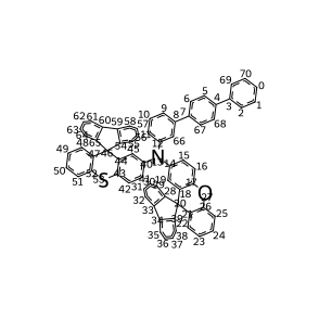 c1ccc(-c2ccc(-c3cccc(N(c4ccc5c(c4)C4(c6ccccc6O5)c5ccccc5-c5ccccc54)c4ccc5c(c4)C4(c6ccccc6S5)c5ccccc5-c5ccccc54)c3)cc2)cc1